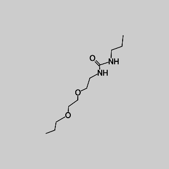 CCCNC(=O)NCCOCCOCCC